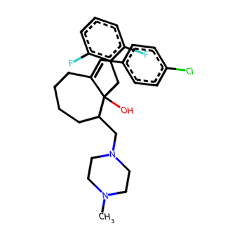 CN1CCN(CC2CCCCC(=Cc3ccc(Cl)cc3)C2(O)Cc2c(F)cccc2F)CC1